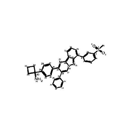 CS(=O)(=O)c1cccc(-c2cccc3c2nn2cc(-c4ccccc4)c(-c4ccc(C5(N)CCC5)cc4)nc32)c1